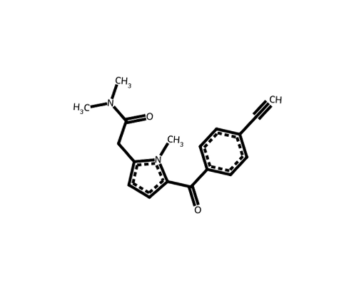 C#Cc1ccc(C(=O)c2ccc(CC(=O)N(C)C)n2C)cc1